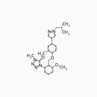 COc1cccc(-n2nnn(C)c2=O)c1COc1ccc(-c2cnn(CC(C)C)c2)cc1C